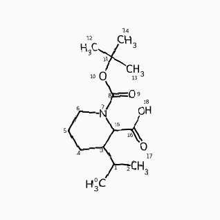 CC(C)C1CCCN(C(=O)OC(C)(C)C)C1C(=O)O